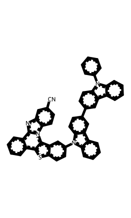 N#Cc1ccc2c(c1)nc1c3ccccc3c3sc4ccc(-n5c6ccccc6c6cc(-c7ccc8c(c7)c7ccccc7n8-c7ccccc7)ccc65)cc4c3n21